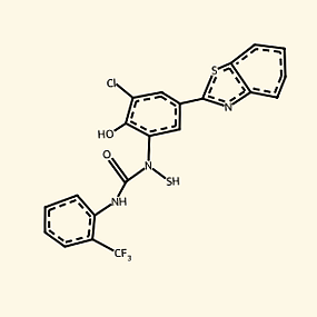 O=C(Nc1ccccc1C(F)(F)F)N(S)c1cc(-c2nc3ccccc3s2)cc(Cl)c1O